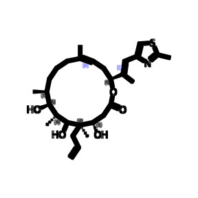 C=CC[C@@]1(C)C(O)[C@H](C)[C@@H](O)[C@@H](C)CCC/C(C)=C\C[C@@H](/C(C)=C/c2csc(C)n2)OC(=O)C[C@@H]1O